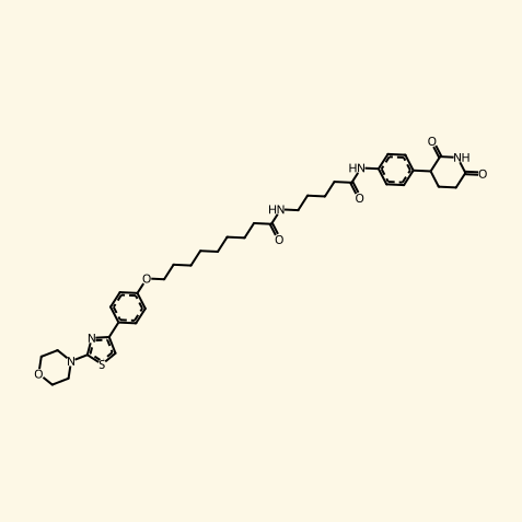 O=C(CCCCCCCCOc1ccc(-c2csc(N3CCOCC3)n2)cc1)NCCCCC(=O)Nc1ccc(C2CCC(=O)NC2=O)cc1